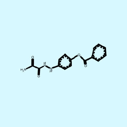 NC(=O)C(=O)NNc1ccc(OC(=O)c2ccccc2)cc1